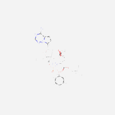 CCC(=O)O[C@H]1[C@H](c2ccc3c(N)ncnn23)O[C@]2(C)C(OP(=O)(N[C@@H](C)C(=O)OCC(CC)CC)Oc3ccccc3)[C@]12OC(=O)CC